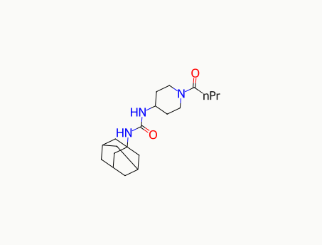 CCCC(=O)N1CCC(NC(=O)NC23CC4CC(CC(C4)C2)C3)CC1